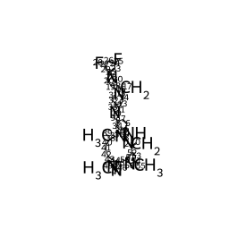 C=C1/N=C2\Nc3ccc(CN4CC5(CCN(C(=C)C6CCN(c7cc(F)cc(F)c7)C6)CC5)C4)cc3N2C[C@H](C)CCCCc2c(cnn2C)-c2cc1cc(C)n2